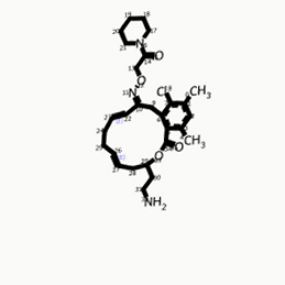 Cc1cc(C)c2c(c1Cl)CC(=NOCC(=O)N1CCCCC1)/C=C/CC/C=C/CC(CCN)OC2=O